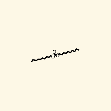 CCCCCCCCCCOC(=O)OCCCCCCCCCC